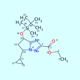 CCOC(=O)c1nc2n(n1)C(C1CC1)CC2O[Si](C)(C)C(C)(C)C